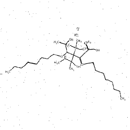 CCCCCCCCOC(C(C)O)C(C(OCCCCCCCC)C(C)O)(C(C)(O)NC)[N+](C)(C)C.Cl.[Cl-]